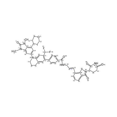 Cn1c(=O)n(C)c2c(C3CCOCC3)cc(N3CCCc4cc(-c5ccc(C(=O)NC/C=C/c6cccc7c6CN(C6CCC(=O)NC6=O)C7=O)nc5)c(C(F)F)cc43)cc21